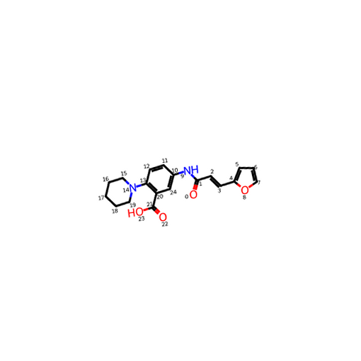 O=C(/C=C/c1ccco1)Nc1ccc(N2CCCCC2)c(C(=O)O)c1